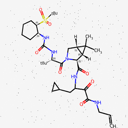 C=CCNC(=O)C(=O)C(CC1CC1)NC(=O)[C@@H]1[C@@H]2[C@H](CN1C(=O)[C@@H](NC(=O)N[C@H]1CCCC[C@H]1S(=O)(=O)C(C)(C)C)C(C)(C)C)C2(C)C